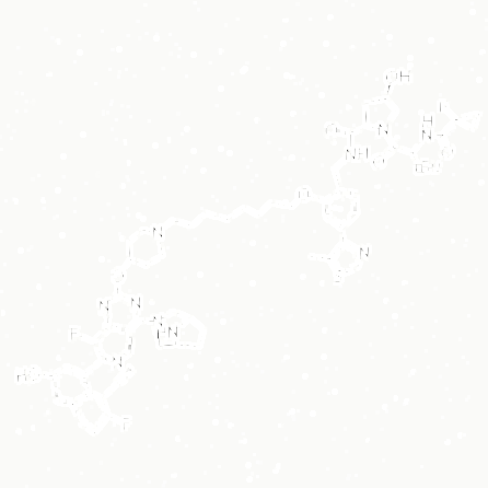 C#Cc1c(F)ccc2cc(O)cc(-c3ncc4c(N5CC6CCC(C5)N6)nc(OC5CCN(CCCCCCCCOc6cc(-c7ncsc7C)ccc6CNC(=O)[C@@H]6C[C@@H](O)CN6C(=O)C(NC(=O)C6(F)CC6)C(C)(C)C)CC5)nc4c3F)c12